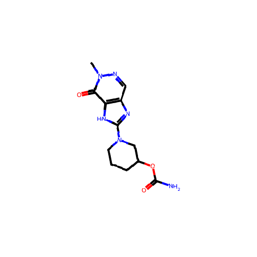 Cn1ncc2nc(N3CCCC(OC(N)=O)C3)[nH]c2c1=O